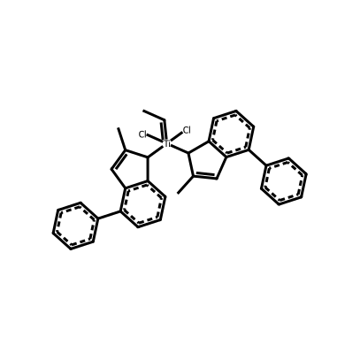 C[CH]=[Ti]([Cl])([Cl])([CH]1C(C)=Cc2c(-c3ccccc3)cccc21)[CH]1C(C)=Cc2c(-c3ccccc3)cccc21